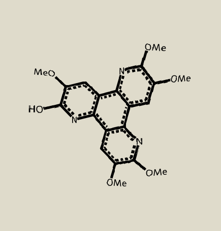 COc1cc2c(nc1O)c1cc(OC)c(OC)nc1c1cc(OC)c(OC)nc21